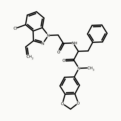 C=Cc1nn(CC(=O)NC(Cc2ccccc2)C(=O)N(C)c2ccc3c(c2)OCO3)c2cccc(Cl)c12